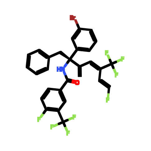 C=C(/C=C(\C=C\F)C(F)(F)F)[C@](Cc1ccccc1)(NC(=O)c1ccc(F)c(C(F)(F)F)c1)c1cccc(Br)c1